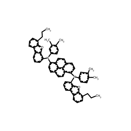 CCCc1cccc2c1oc1c(N(c3ccc(C)c(C)c3)c3ccc4ccc5c(N(c6ccc(C)c(C)c6)c6cccc7c6oc6c(CCC)cccc67)ccc6ccc3c4c65)cccc12